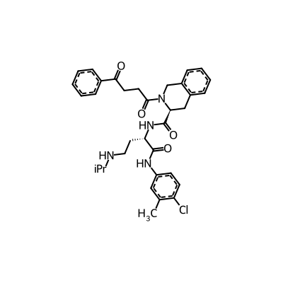 Cc1cc(NC(=O)[C@H](CCNC(C)C)NC(=O)[C@@H]2Cc3ccccc3CN2C(=O)CCC(=O)c2ccccc2)ccc1Cl